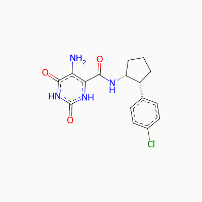 Nc1c(C(=O)N[C@@H]2CCC[C@@H]2c2ccc(Cl)cc2)[nH]c(=O)[nH]c1=O